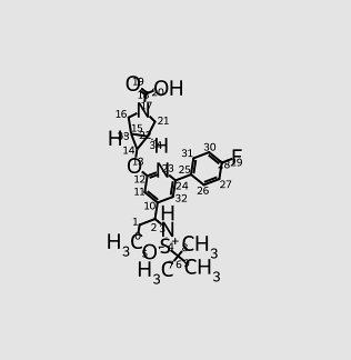 CCC(N[S+]([O-])C(C)(C)C)c1cc(OC2[C@H]3CN(C(=O)O)C[C@@H]23)nc(-c2ccc(F)cc2)c1